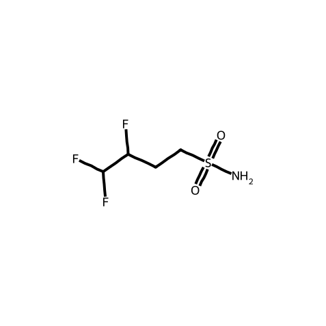 NS(=O)(=O)CCC(F)C(F)F